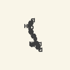 O=C(CN1CCN(c2ccc(OC[C@@H]3CO[C@@](Cn4ccnc4)(c4ccc(Cl)cc4Cl)O3)cc2)CC1)Nc1ccc(Cl)cc1